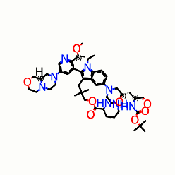 CCn1c(-c2cc(N3CCN4CCOC[C@@H]4C3)cnc2[C@H](C)OC)c(CC(C)(C)COC(=O)C2CCCNN2)c2cc(N3CCO[C@@H](C[C@@H](C=O)NC(=O)OC(C)(C)C)C3)ccc21